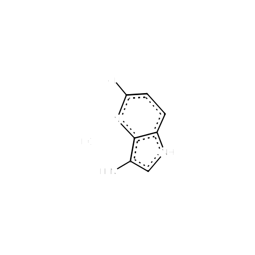 Cl.Nc1c[nH]c2ccc(Cl)nc12